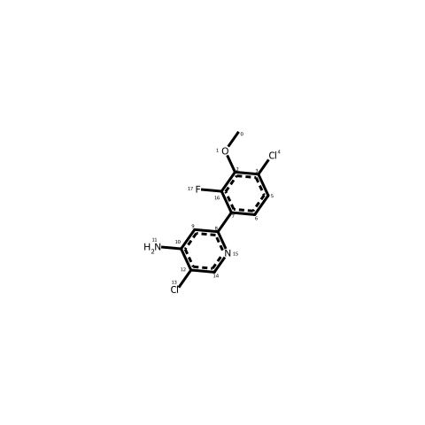 COc1c(Cl)ccc(-c2cc(N)c(Cl)cn2)c1F